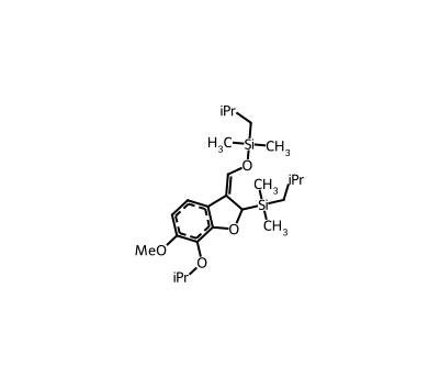 COc1ccc2c(c1OC(C)C)OC([Si](C)(C)CC(C)C)C2=CO[Si](C)(C)CC(C)C